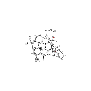 C=C(CC(C)(C)C)NC1C2CCC1CN(c1cccnc1NC(=C)c1nc(-c3nc(N4CCCCC4)ccc3C(F)(F)F)cnc1N)C2